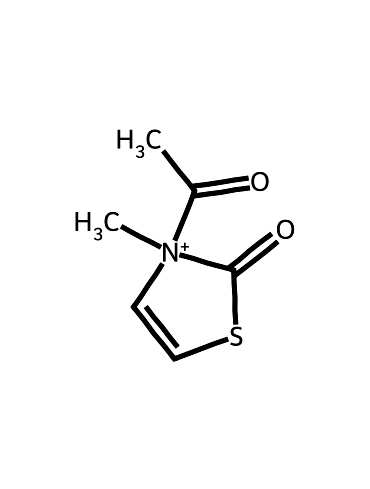 CC(=O)[N+]1(C)C=CSC1=O